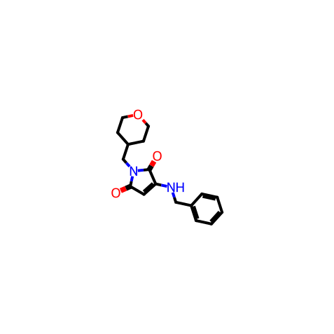 O=C1C=C(NCc2ccccc2)C(=O)N1CC1CCOCC1